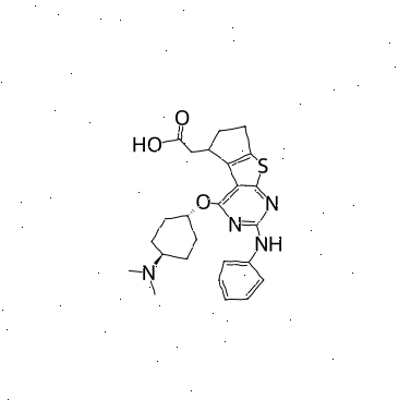 CN(C)[C@H]1CC[C@H](Oc2nc(Nc3ccccc3)nc3sc4c(c23)C(CC(=O)O)CC4)CC1